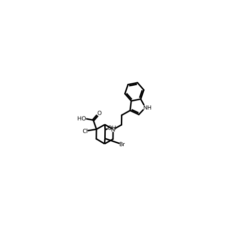 O=C(O)C1(Cl)CC2CN(CCc3c[nH]c4ccccc34)C1C(O)C2Br